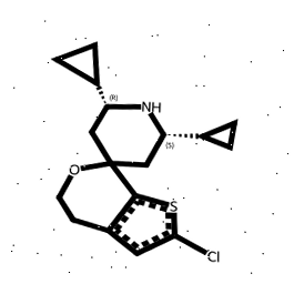 Clc1cc2c(s1)C1(C[C@@H](C3CC3)N[C@@H](C3CC3)C1)OCC2